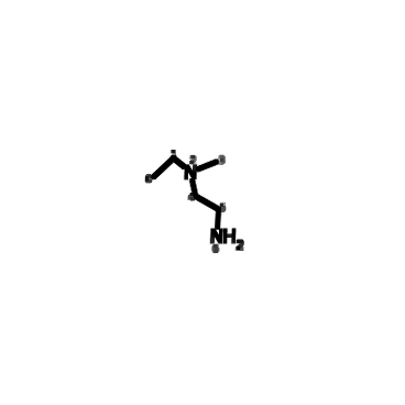 CCN(C)CCN